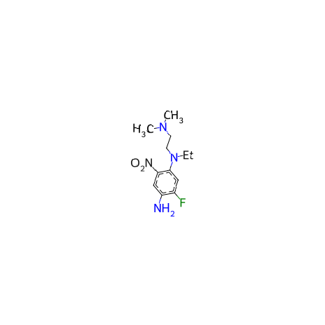 CCN(CCN(C)C)c1cc(F)c(N)cc1[N+](=O)[O-]